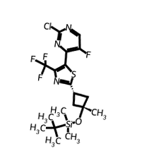 CC(C)(C)[Si](C)(C)O[C@]1(C)C[C@H](c2nc(C(F)(F)F)c(-c3nc(Cl)ncc3F)s2)C1